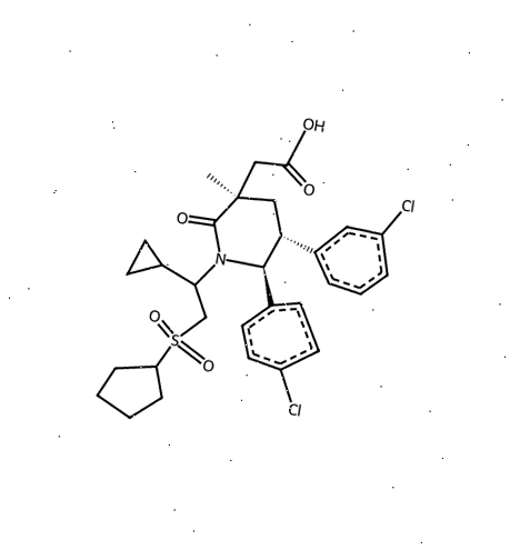 C[C@]1(CC(=O)O)C[C@H](c2cccc(Cl)c2)[C@@H](c2ccc(Cl)cc2)N(C(CS(=O)(=O)C2CCCC2)C2CC2)C1=O